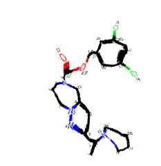 CC(c1cc2n(n1)CCCN(C(=O)OCc1cc(Cl)cc(Cl)c1)C2)N1CCCC1